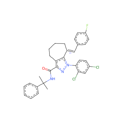 CC(C)(NC(=O)c1nn(-c2ccc(Cl)cc2Cl)c2c1CCCC/C2=C\c1ccc(F)cc1)c1ccccc1